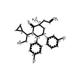 C=CC[C@@]1(C)C[C@H](c2cccc(Cl)c2)[C@@H](c2ccc(Cl)cc2)N(C(CO)C2CC2)C1=O